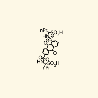 CCCC(NS(=O)(=O)c1ccc2c(c1)C(=O)c1cccc(S(=O)(=O)NC(CCC)S(=O)(=O)O)c1C2=O)S(=O)(=O)O